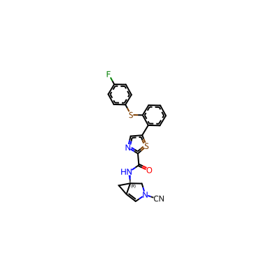 N#CN1C=C2C[C@]2(NC(=O)c2ncc(-c3ccccc3Sc3ccc(F)cc3)s2)C1